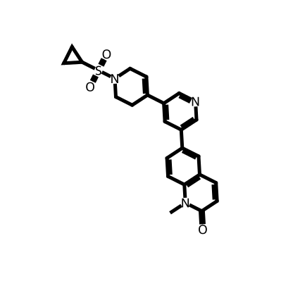 Cn1c(=O)ccc2cc(-c3cncc(C4=CCN(S(=O)(=O)C5CC5)CC4)c3)ccc21